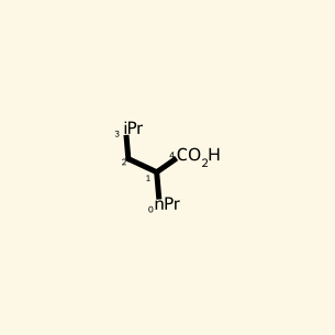 CCCC(CC(C)C)C(=O)O